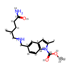 Cc1cc2cc(CNCC(C)CCC(N)=O)ccc2n1C(=O)OC(C)(C)C